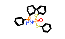 O=P(NP(c1ccccc1)c1ccccc1)(Sc1ccccc1)Sc1ccccc1